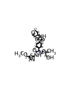 COCc1cnc(NC(=O)/C(=N/O[C@H](C)CO)c2ccc(S(=O)(=O)NC3CCOCC3)cc2)s1